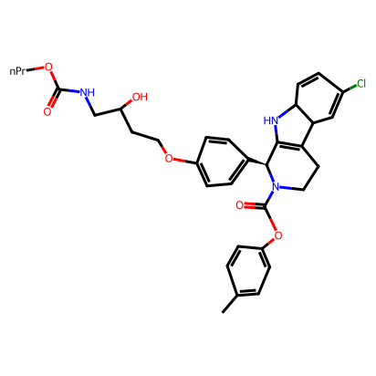 CCCOC(=O)NCC(O)CCOc1ccc([C@H]2C3=C(CCN2C(=O)Oc2ccc(C)cc2)C2C=C(Cl)C=CC2N3)cc1